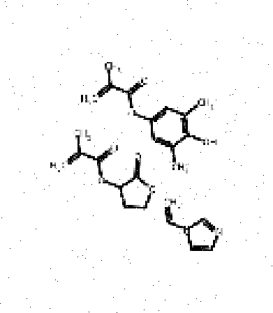 C=C(C)C(=O)OC1CCOC1=O.C=C(C)C(=O)Oc1cc(C)c(O)c(C)c1.C=Cn1ccnc1